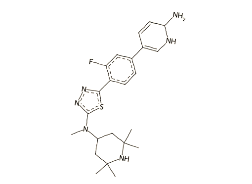 CN(c1nnc(-c2ccc(C3=CNC(N)C=C3)cc2F)s1)C1CC(C)(C)NC(C)(C)C1